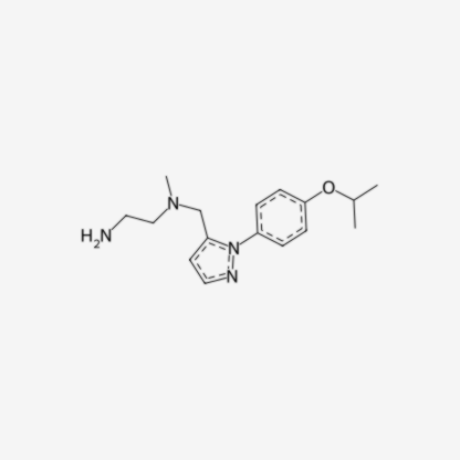 CC(C)Oc1ccc(-n2nccc2CN(C)CCN)cc1